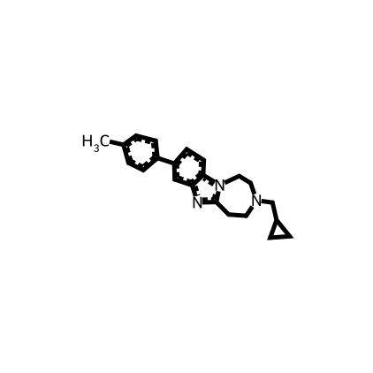 Cc1ccc(-c2ccc3c(c2)nc2n3CCN(CC3CC3)CC2)cc1